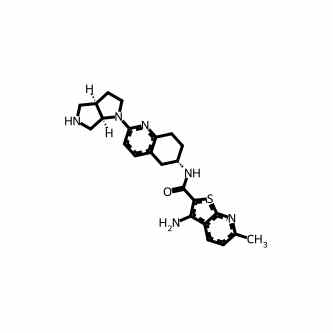 Cc1ccc2c(N)c(C(=O)N[C@H]3CCc4nc(N5CC[C@@H]6CNC[C@@H]65)ccc4C3)sc2n1